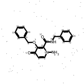 Nn1ccc(=O)c(OCc2ccccc2)c1C(=O)NCc1ccccc1